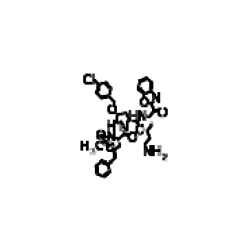 CS(=O)(=O)N[C@H](C/C=C/c1ccccc1)C(=O)N1C[C@H](OCc2ccc(Cl)cc2)C[C@H]1C(=O)N[C@@H](CCCCN)C(=O)c1nc2ccccc2o1